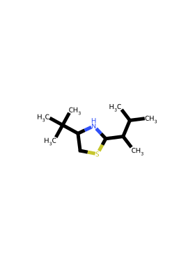 CC(C)C(C)C1NC(C(C)(C)C)CS1